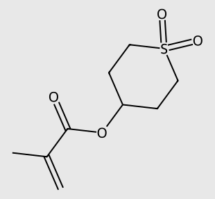 C=C(C)C(=O)OC1CCS(=O)(=O)CC1